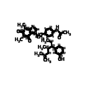 CC(=O)Nc1ccc(O)cc1.CC[C@@H](c1cccc(O)c1)[C@@H](C)CN(C)C.Cn1c(=O)c2c(ncn2C)n(C)c1=O